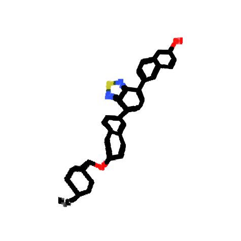 CC1CCC(COc2ccc3cc(-c4ccc(-c5ccc6cc(O)ccc6c5)c5nsnc45)ccc3c2)CC1